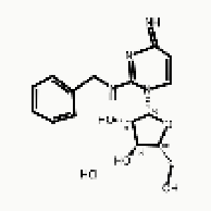 Cl.N=c1ccn([C@@H]2O[C@H](CO)[C@@H](O)[C@@H]2O)c(NCc2ccccc2)n1